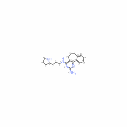 Nc1nc(NCCCC2CCCN2)c2c(n1)-c1ccccc1CCC2